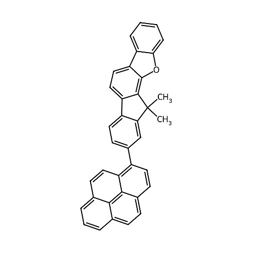 CC1(C)c2cc(-c3ccc4ccc5cccc6ccc3c4c56)ccc2-c2ccc3c(oc4ccccc43)c21